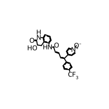 O=C(/C=C/C=C(/c1ccc(C(F)(F)F)cc1)c1cc[n+]([O-])cc1)Nc1cccc2c1CC(O)C(=O)N2